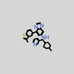 Cc1csc2ccc(-c3cc(NC(c4cccnc4)C4CCC(C)CC4)cc4nccnc34)cc12